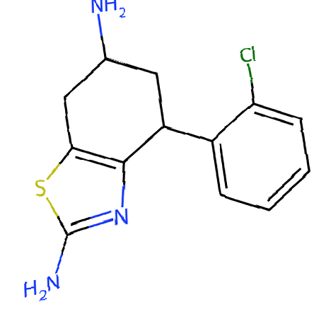 Nc1nc2c(s1)CC(N)CC2c1ccccc1Cl